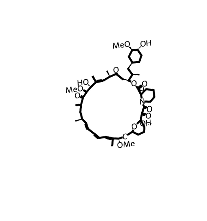 COC1C(=O)C(C)C[C@H](C)/C=C/C=C/C=C(\C)[C@@H](OC)CC2CC[C@@H](C)[C@@](O)(O2)C(=O)C(=O)N2CCCC[C@H]2C(=O)O[C@H]([C@H](C)C[C@@H]2CC[C@@H](O)[C@H](OC)C2)CC(=O)[C@H](C)/C=C(\C)[C@H]1O